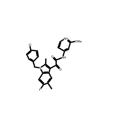 C=C(/C=C(\C=C/N)NC(=O)C(=O)c1c(C)n(Cc2ccc(Cl)cc2)c2cc(F)c(C)cc12)OC